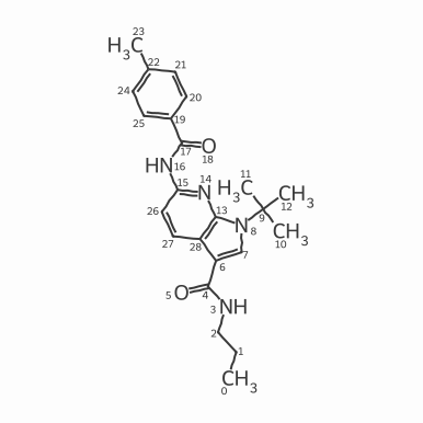 CCCNC(=O)c1cn(C(C)(C)C)c2nc(NC(=O)c3ccc(C)cc3)ccc12